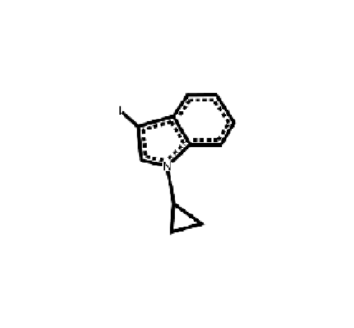 Ic1cn(C2CC2)c2ccccc12